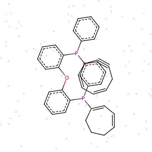 C1#CC(P(c2ccccc2)c2ccccc2Oc2ccccc2P(C2=CC=CCCC2)c2ccccc2)/C=C\C=C/C1